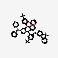 Cc1cc2c3c(c1)N(c1ccc(C(C)(C)C)cc1-c1ccccc1)c1cc(N(c4ccccc4)c4ccccc4)ccc1B3c1cc(C(C)(C)C)ccc1N2c1ccc2c(c1)-c1ccccc1C2(C)C